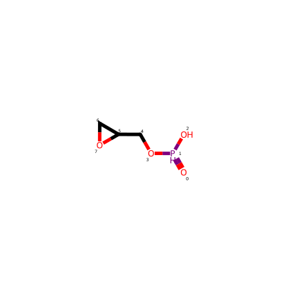 O=[PH](O)OCC1CO1